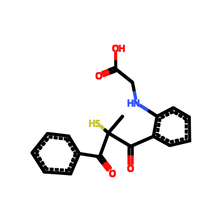 CC(S)(C(=O)c1ccccc1)C(=O)c1ccccc1NCC(=O)O